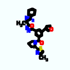 Cc1csc([C@H]2CCCN2C(=O)c2cc(-c3ccoc3)cc(-c3nnc([C@@](C)(N)Cc4ccccc4)o3)c2)n1